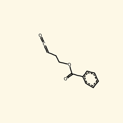 O=C=CCCOC(=O)c1ccccc1